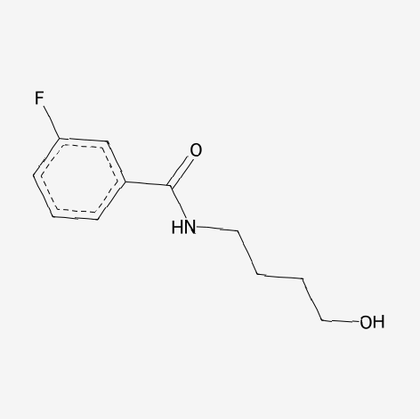 O=C(NCCCCO)c1cccc(F)c1